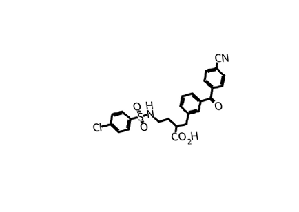 N#Cc1ccc(C(=O)c2cccc(CC(CCNS(=O)(=O)c3ccc(Cl)cc3)C(=O)O)c2)cc1